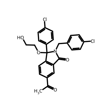 CC(=O)c1ccc2c(c1)C(=O)N(Cc1ccc(Cl)cc1)C2(OCCO)c1ccc(Cl)cc1